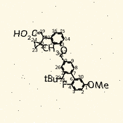 COc1ccc(F)c(-c2ccc(COc3cccc([C@H](CC(=O)O)C4(C)CC4)c3)cc2CC(C)(C)C)c1